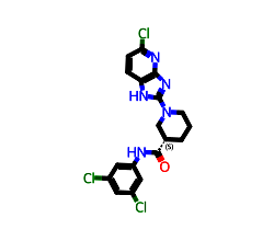 O=C(Nc1cc(Cl)cc(Cl)c1)[C@H]1CCCN(c2nc3nc(Cl)ccc3[nH]2)C1